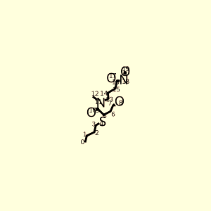 CCCCSC(CC=O)C(=O)N(C)CCCC(=O)N=O